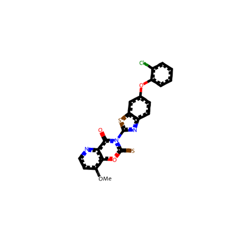 COc1ccnc2c(=O)n(-c3nc4ccc(Oc5ccccc5Cl)cc4s3)c(=S)oc12